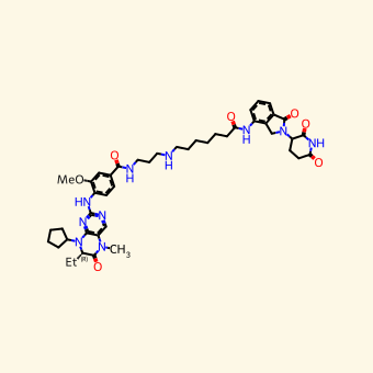 CC[C@@H]1C(=O)N(C)c2cnc(Nc3ccc(C(=O)NCCCNCCCCCCC(=O)Nc4cccc5c4CN(C4CCC(=O)NC4=O)C5=O)cc3OC)nc2N1C1CCCC1